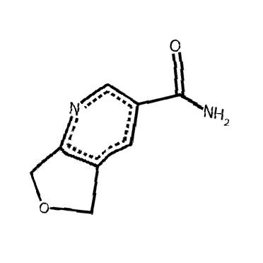 NC(=O)c1cnc2c(c1)COC2